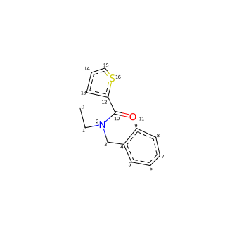 CCN(Cc1ccccc1)C(=O)c1cccs1